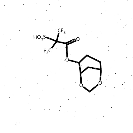 O=C(OC1CCC2CC1OCO2)C(C(F)(F)F)(C(F)(F)F)S(=O)(=O)O